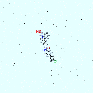 O=C(C=Cc1ccc(CN(CCO)C2CCCCC2)cc1)Nc1ccc(-c2ccc(Cl)cc2)cc1